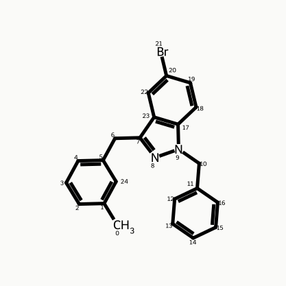 Cc1cccc(Cc2nn(Cc3ccccc3)c3ccc(Br)cc23)c1